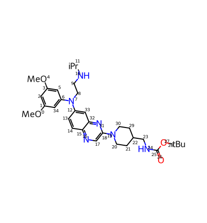 COc1cc(OC)cc(N(CCNC(C)C)c2ccc3ncc(N4CCC(CNC(=O)OC(C)(C)C)CC4)nc3c2)c1